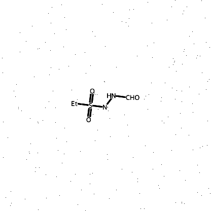 CCS(=O)(=O)[N]NC=O